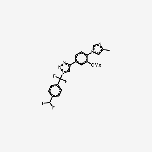 COc1cc(-c2cn(C(F)(F)c3ccc(C(F)F)cc3)nn2)ccc1-n1cnc(C)c1